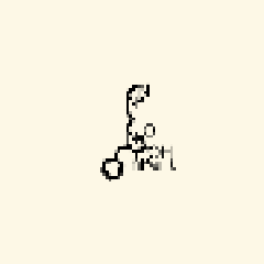 CCCCCC1=C(O)C(=O)N(CCCn2ccnc2)C1Cc1ccccc1